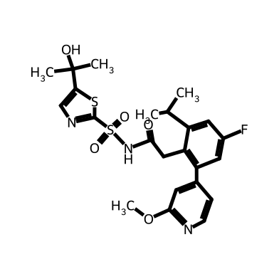 COc1cc(-c2cc(F)cc(C(C)C)c2CC(=O)NS(=O)(=O)c2ncc(C(C)(C)O)s2)ccn1